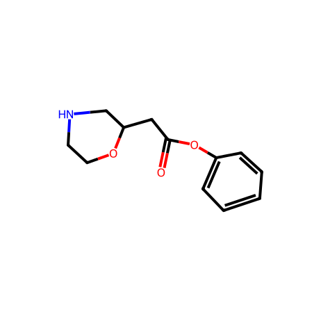 O=C(CC1CNCCO1)Oc1ccccc1